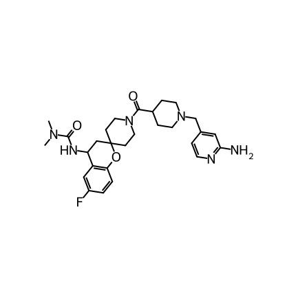 CN(C)C(=O)NC1CC2(CCN(C(=O)C3CCN(Cc4ccnc(N)c4)CC3)CC2)Oc2ccc(F)cc21